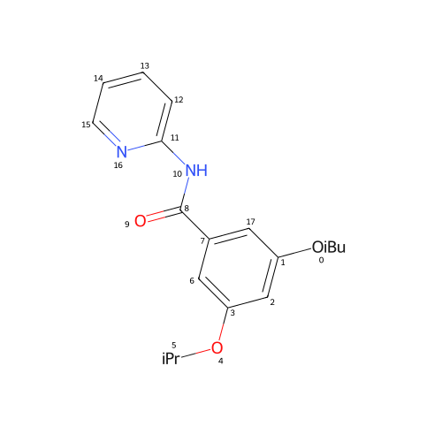 CC(C)COc1cc(OC(C)C)cc(C(=O)Nc2ccccn2)c1